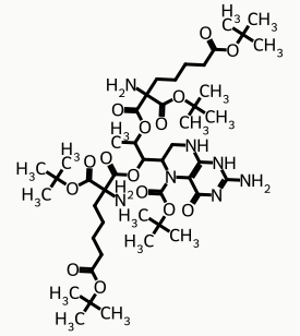 CC(OC(=O)C(N)(CCCCC(=O)OC(C)(C)C)C(=O)OC(C)(C)C)C(OC(=O)C(N)(CCCCC(=O)OC(C)(C)C)C(=O)OC(C)(C)C)C1CNc2[nH]c(N)nc(=O)c2N1C(=O)OC(C)(C)C